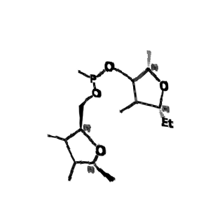 CC[C@H]1O[C@@H](C)C(OP(C)OC[C@H]2O[C@@H](C)C(C)C2C)C1C